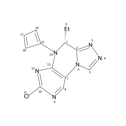 CC[C@@H]1c2nncn2-c2cnc(Cl)nc2N1C1=CC=C1